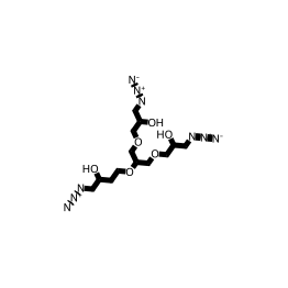 [N-]=[N+]=NCC(O)CCOC(COCC(O)CN=[N+]=[N-])COCC(O)CN=[N+]=[N-]